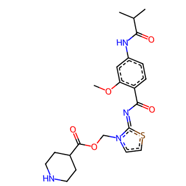 COc1cc(NC(=O)C(C)C)ccc1C(=O)N=c1sccn1COC(=O)C1CCNCC1